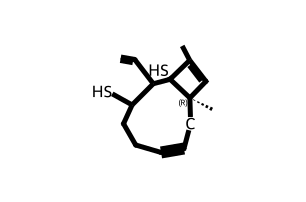 C=CC1C(S)CCC#CC[C@]2(C)C=C(C)C12S